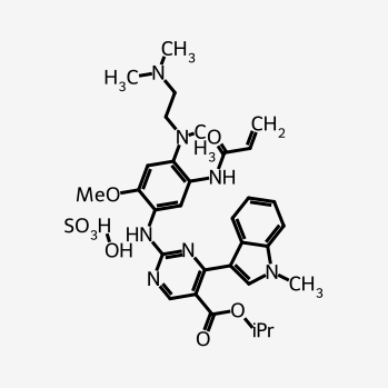 C=CC(=O)Nc1cc(Nc2ncc(C(=O)OC(C)C)c(-c3cn(C)c4ccccc34)n2)c(OC)cc1N(C)CCN(C)C.O=S(=O)(O)O